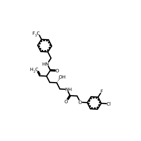 C=CC(C[C@H](O)CNC(=O)COc1ccc(Cl)c(F)c1)C(=O)NCc1ccc(C(F)(F)F)cc1